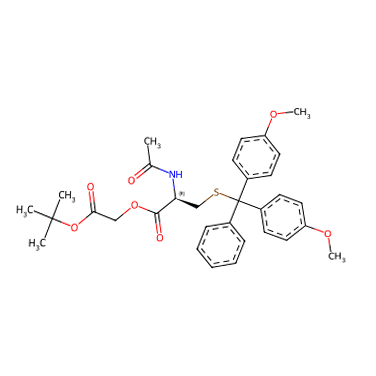 COc1ccc(C(SC[C@H](NC(C)=O)C(=O)OCC(=O)OC(C)(C)C)(c2ccccc2)c2ccc(OC)cc2)cc1